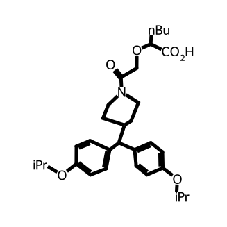 CCCCC(OCC(=O)N1CCC(C(c2ccc(OC(C)C)cc2)c2ccc(OC(C)C)cc2)CC1)C(=O)O